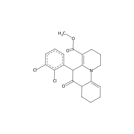 COC(=O)C1=C2C(c3cccc(Cl)c3Cl)C(=O)C3CCCC=C3N2CCC1